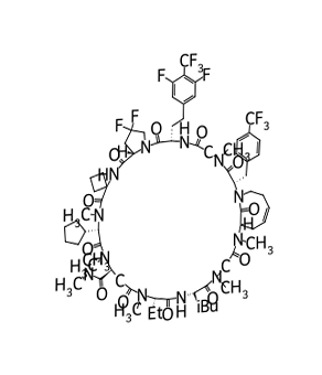 CC[C@H](C)[C@@H]1NC(=O)[C@H](CC)N(C)C(=O)C[C@@H](C(=O)N(C)C)N(C)C(=O)[C@H](C2CCCC2)N(C)C(=O)C2(CCC2)NC(=O)[C@@H]2CC(F)(F)CN2C(=O)[C@H](CCc2cc(F)c(C(F)(F)F)c(F)c2)NC(=O)CN(C)C(=O)[C@H](Cc2ccc(C(F)(F)F)cc2)N2CC/C=C\C[C@@H](C2=O)N(C)C(=O)CN(C)C1=O